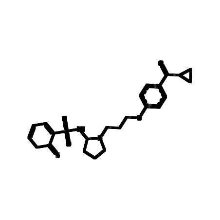 O=C(c1ccc(OCCCN2CCCC2NS(=O)(=O)C2=CC=CCC2=S)cc1)C1CC1